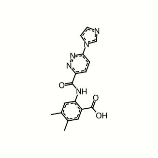 Cc1cc(NC(=O)c2ccc(-n3ccnc3)nn2)c(C(=O)O)cc1C